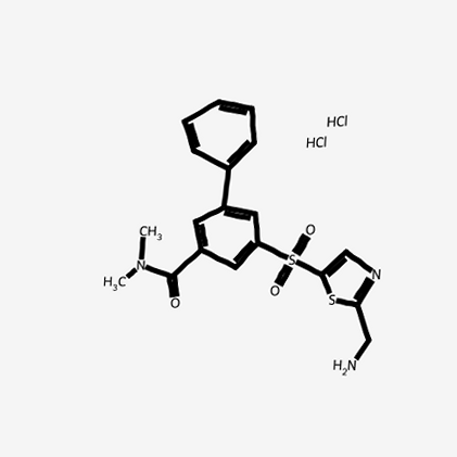 CN(C)C(=O)c1cc(-c2ccccc2)cc(S(=O)(=O)c2cnc(CN)s2)c1.Cl.Cl